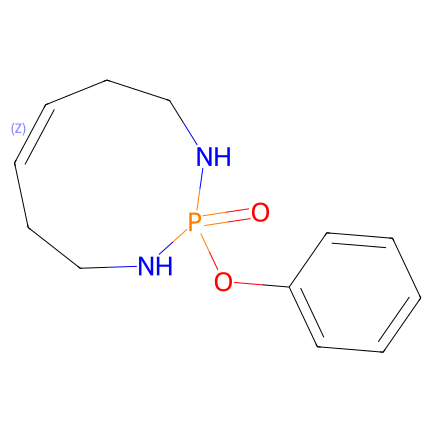 O=P1(Oc2ccccc2)NCC/C=C\CCN1